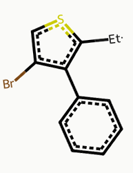 C[CH]c1scc(Br)c1-c1ccccc1